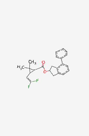 CC1(C)C(C=C(F)F)C1C(=O)OC1Cc2cccc(-c3ccccc3)c2C1